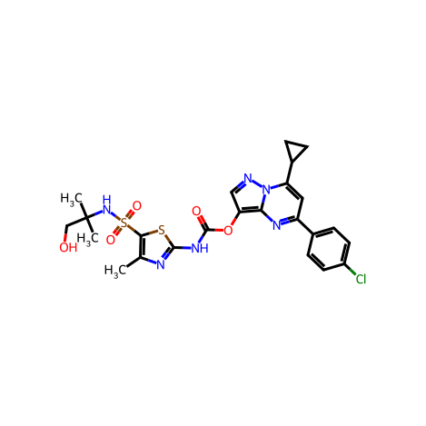 Cc1nc(NC(=O)Oc2cnn3c(C4CC4)cc(-c4ccc(Cl)cc4)nc23)sc1S(=O)(=O)NC(C)(C)CO